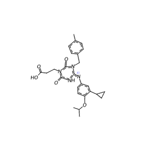 Cc1ccc(Cn2c(=O)n(CCC(=O)O)c(=O)[nH]/c2=N\c2ccc(OC(C)C)c(C3CC3)c2)cc1